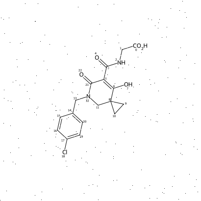 O=C(O)CNC(=O)C1=C(O)C2(CC2)CN(Cc2ccc(Cl)cc2)C1=O